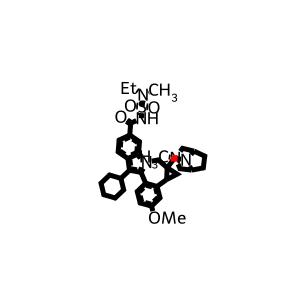 CCN(C)S(=O)(=O)NC(=O)c1ccc2c(C3CCCCC3)c3n(c2c1)CC1(CN2C4CCC2CN(C)C4)CC1c1cc(OC)ccc1-3